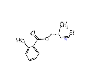 CC/C=C\C(C)COC(=O)c1ccccc1O